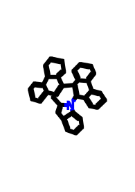 Cc1cc2ccccc2n1-c1c(-c2cc3ccccc3c3ccccc23)c2ccccc2c2ccccc12